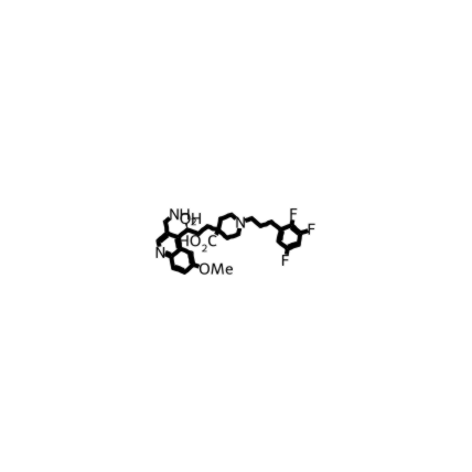 COc1ccc2ncc(CN)c([C@H](O)CCC3(C(=O)O)CCN(CCCc4cc(F)cc(F)c4F)CC3)c2c1